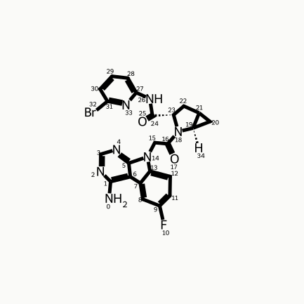 Nc1ncnc2c1c1cc(F)ccc1n2CC(=O)N1[C@@H]2CC2C[C@H]1C(=O)Nc1cccc(Br)n1